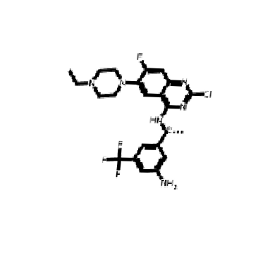 CCN1CCN(c2cc3c(N[C@H](C)c4cc(N)cc(C(F)(F)F)c4)nc(Cl)nc3cc2F)CC1